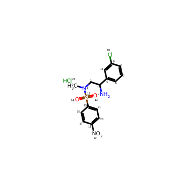 CN(CC(N)c1cccc(Cl)c1)S(=O)(=O)c1ccc([N+](=O)[O-])cc1.Cl